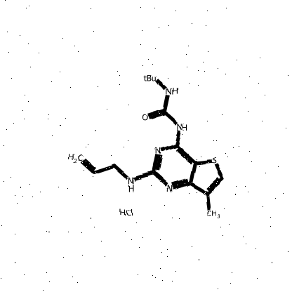 C=CCNc1nc(NC(=O)NC(C)(C)C)c2scc(C)c2n1.Cl